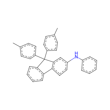 Cc1ccc(C2(c3ccc(C)cc3)c3ccccc3-c3ccc(Nc4ccccc4)cc32)cc1